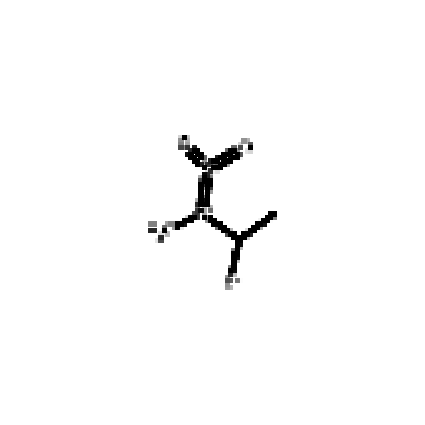 CC(Br)[N+](=S(=O)=O)C(F)(F)F